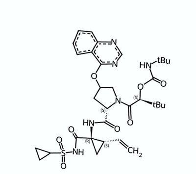 C=C[C@@H]1C[C@]1(NC(=O)[C@@H]1CC(Oc2ncnc3ccccc23)CN1C(=O)[C@@H](OC(=O)NC(C)(C)C)C(C)(C)C)C(=O)NS(=O)(=O)C1CC1